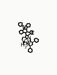 C#C/C=C\c1c(C)n(/C=C/C(=C\C(N)c2ccccc2)c2ccccc2)c2c3ccccc3c3c(c4ccccc4c4c3c3ccccc3n4-c3ccccc3)c12